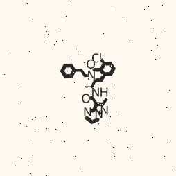 Cc1nn2cccnc2c1C(=O)N[C@@H](C)c1cc2cccc(Cl)c2c(=O)n1CCc1ccccc1